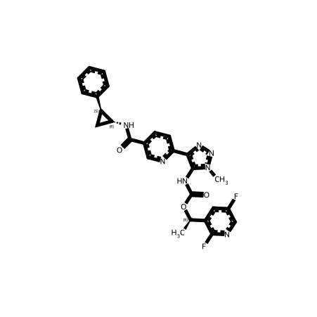 C[C@@H](OC(=O)Nc1c(-c2ccc(C(=O)N[C@@H]3C[C@H]3c3ccccc3)cn2)nnn1C)c1cc(F)cnc1F